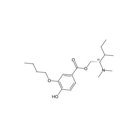 CCCCOc1cc(C(=O)OC[C@H](C(C)CC)N(C)C)ccc1O